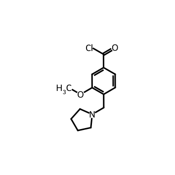 COc1cc(C(=O)Cl)ccc1CN1CCCC1